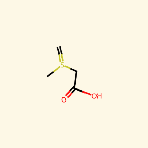 C=S(C)CC(=O)O